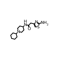 Nc1nc(CC(=O)NC2CCN(C3CCCCC3)CC2)cs1